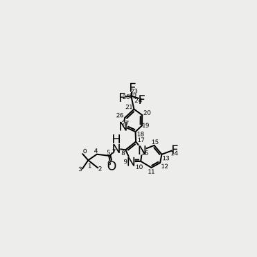 CC(C)(C)CC(=O)Nc1nc2ccc(F)cn2c1-c1ccc(C(F)(F)F)cn1